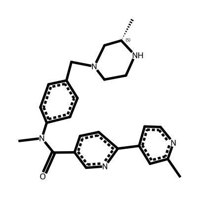 Cc1cc(-c2ccc(C(=O)N(C)c3ccc(CN4CCN[C@@H](C)C4)cc3)cn2)ccn1